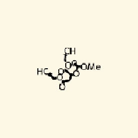 C#CCOC(=O)CC(OC(=O)OC)C(=O)OCC#C